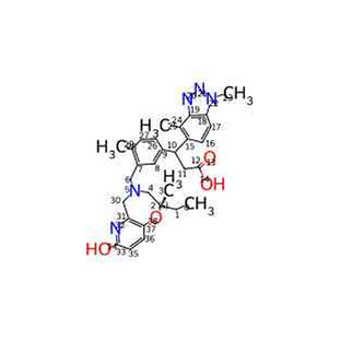 CC[C@@]1(C)CN(Cc2cc(C(CC(=O)O)c3ccc4c(nnn4C)c3C)ccc2C)Cc2nc(O)ccc2O1